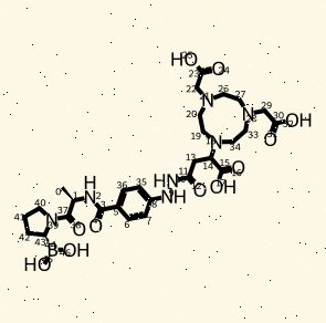 C[C@@H](NC(=O)c1ccc(NNC(=O)CC(C(=O)O)N2CCN(CC(=O)O)CCN(CC(=O)O)CC2)cc1)C(=O)N1CCC[C@H]1B(O)O